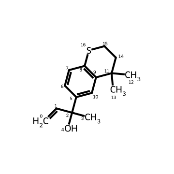 C=CC(C)(O)c1ccc2c(c1)C(C)(C)CCS2